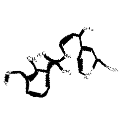 C=C(C)/C=C(\C=C/C)C(=C)/C=C\NC(C)(C)c1cccc(SF)c1C